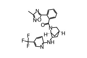 Cc1noc(-c2ccccc2C(=O)N2C[C@H]3C[C@@H](Nc4ccc(C(F)(F)F)cn4)[C@@H]2C3)n1